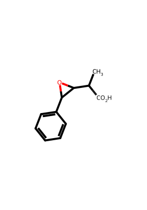 CC(C(=O)O)C1OC1c1ccccc1